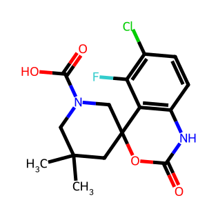 CC1(C)CN(C(=O)O)CC2(C1)OC(=O)Nc1ccc(Cl)c(F)c12